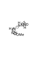 COc1ccc2ncc(F)c(C[C@H](N)[C@H]3CC[C@@H](NCc4ccc5c(n4)NC(=O)CS5)CC3)c2n1